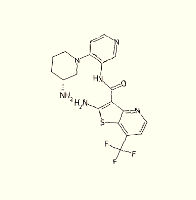 Nc1sc2c(C(F)(F)F)ccnc2c1C(=O)Nc1cnccc1N1CCC[C@@H](N)C1